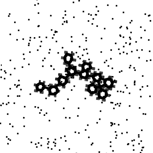 c1ccc(-c2cccc(-c3ccc(-c4cc(-c5ccc(-c6ccc7c(c6)C(c6ccccc6)(c6ccccc6)c6ccccc6-7)c6ccccc56)nc(-c5ccccc5)n4)cc3)c2)cc1